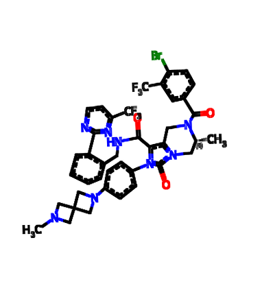 C[C@@H]1Cn2c(c(C(=O)NCc3ccccc3-c3nccc(C(F)(F)F)n3)n(-c3ccc(N4CC5(CN(C)C5)C4)cc3)c2=O)CN1C(=O)c1ccc(Br)c(C(F)(F)F)c1